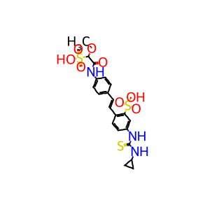 COC(C(=O)Nc1ccc(/C=C/c2ccc(NC(=S)NC3CC3)cc2S(=O)(=O)O)cc1)S(=O)(=O)O